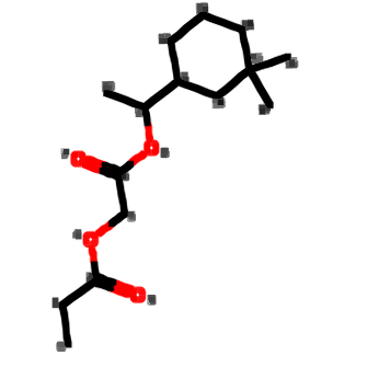 CCC(=O)OCC(=O)OC(C)C1CCCC(C)(C)C1